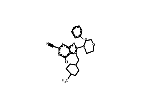 CC1CCC(Cn2c(N3CCOC[C@H]3c3ccccc3)nc3nc(C#N)nc(Cl)c32)CC1